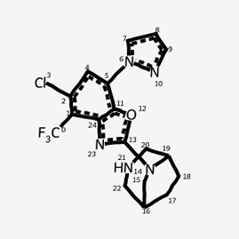 FC(F)(F)c1c(Cl)cc(-n2cccn2)c2oc(N3CC4CCC3CNC4)nc12